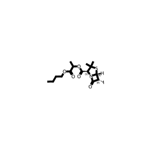 CCCCOC(=O)C(C)OC(=O)[C@@H]1N2C(=O)[C@@H](I)[C@H]2SC1(C)C